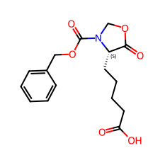 O=C(O)CCCC[C@H]1C(=O)OCN1C(=O)OCc1ccccc1